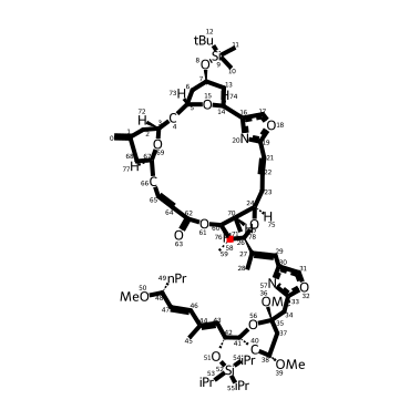 C=C1C[C@@H]2C[C@@H]3C[C@@H](O[Si](C)(C)C(C)(C)C)C[C@@H](O3)c3coc(n3)/C=C/C[C@H]3O[C@@H](/C(C)=C/c4coc(C[C@]5(OC)C[C@H](OC)C[C@H]([C@@H](/C=C(C)/C=C/[C@@H](CCC)OC)O[Si](C(C)C)(C(C)C)C(C)C)O5)n4)[C@H](C)[C@@H](OC(=O)/C=C\C[C@@H](C1)O2)[C@H]3C